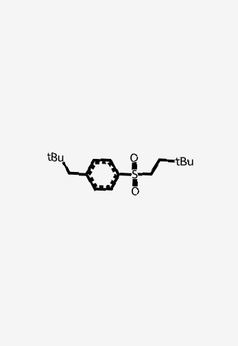 CC(C)(C)CCS(=O)(=O)c1ccc(CC(C)(C)C)cc1